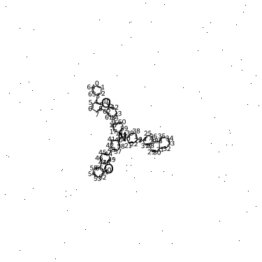 c1ccc(-c2cccc3c2oc2ccc(-c4ccc(N(c5ccc(-c6ccc7c(ccc8ccccc87)c6)cc5)c5ccc(-c6ccc7c(c6)oc6ccccc67)cc5)cc4)cc23)cc1